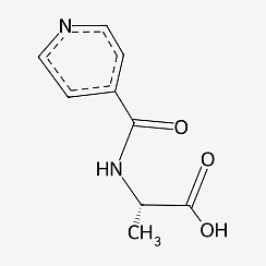 C[C@H](NC(=O)c1ccncc1)C(=O)O